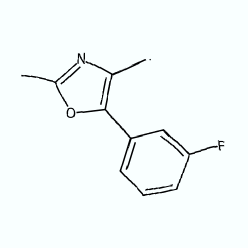 [CH2]c1nc(C)oc1-c1cccc(F)c1